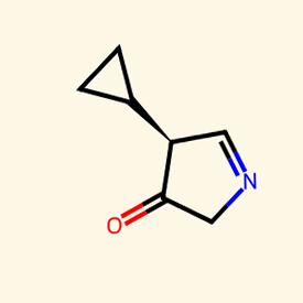 O=C1CN=C[C@@H]1C1CC1